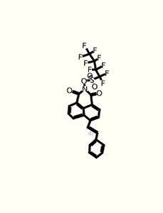 O=C1c2cccc3c(/C=C/c4ccccc4)ccc(c23)C(=O)N1OS(=O)(=O)C(F)(F)C(F)(F)C(F)(F)C(F)(F)F